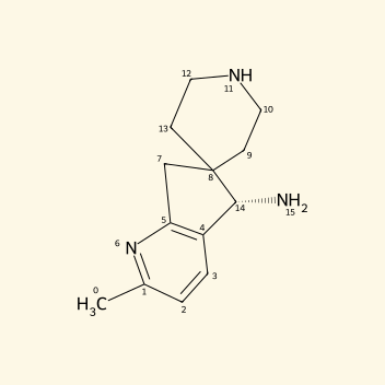 Cc1ccc2c(n1)CC1(CCNCC1)[C@@H]2N